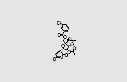 COc1ccn([C@@H]2O[C@](F)(COC(=O)c3cccc(Cl)c3)[C@@H](OC(C)=O)[C@H]2OC(C)=O)c(=O)n1